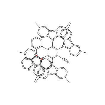 Cc1ccc2c(c1)c1cc(C)ccc1n2-c1c(C#N)c(-n2c3ccc(C)cc3c3cc(C)ccc32)c(-n2c3ccc(C)cc3c3cc(C)ccc32)c(-c2ccccc2-n2c3cccnc3c3ncccc32)c1-n1c2ccc(C)cc2c2cc(C)ccc21